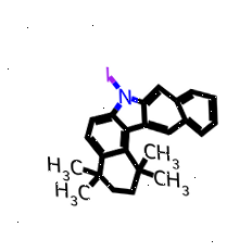 CC1(C)CCC(C)(C)c2c1ccc1c2c2cc3ccccc3cc2n1I